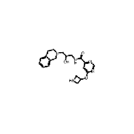 O=C(NCC(O)CN1CCc2ccccc2C1)c1cc(OC2CNC2)ncn1